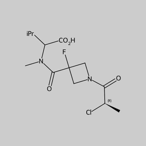 CC(C)C(C(=O)O)N(C)C(=O)C1(F)CN(C(=O)[C@@H](C)Cl)C1